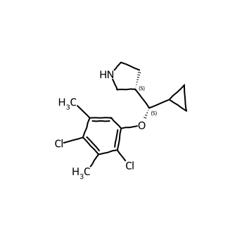 Cc1cc(O[C@@H](C2CC2)[C@H]2CCNC2)c(Cl)c(C)c1Cl